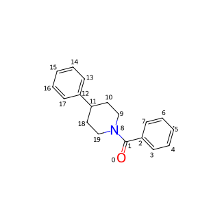 O=C(c1cc[c]cc1)N1CCC(c2ccccc2)CC1